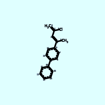 C=C(Cl)C=C(C)c1ccc(-c2ccccc2)cc1